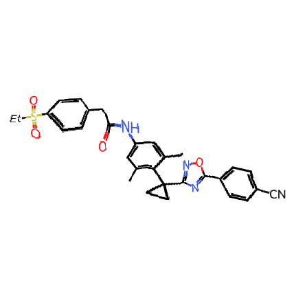 CCS(=O)(=O)c1ccc(CC(=O)Nc2cc(C)c(C3(c4noc(-c5ccc(C#N)cc5)n4)CC3)c(C)c2)cc1